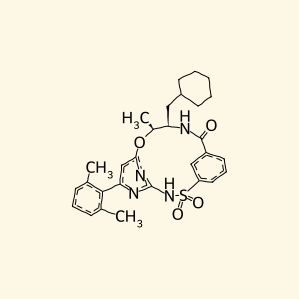 Cc1cccc(C)c1-c1cc2nc(n1)NS(=O)(=O)c1cccc(c1)C(=O)N[C@H](CC1CCCCC1)[C@H](C)O2